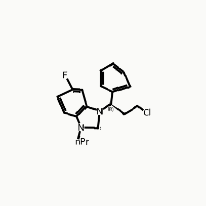 CCCN1[C]N([C@H](CCCl)c2ccccc2)c2cc(F)ccc21